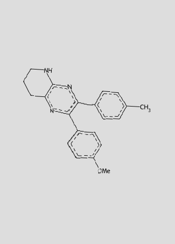 COc1ccc(-c2nc3c(nc2-c2ccc(C)cc2)NCCC3)cc1